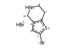 Br.Brc1cc2c(s1)CCNC2